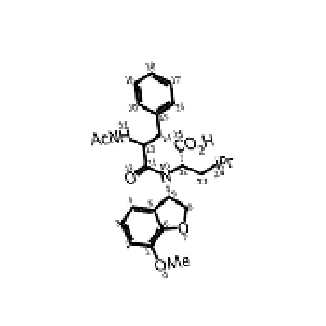 COc1cccc2c1OC[C@H]2N(C(=O)C(Cc1ccccc1)NC(C)=O)[C@@H](CC(C)C)C(=O)O